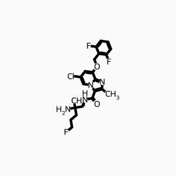 Cc1nc2c(OCc3c(F)cccc3F)cc(Cl)cn2c1C(=O)NCC(C)(N)CCCF